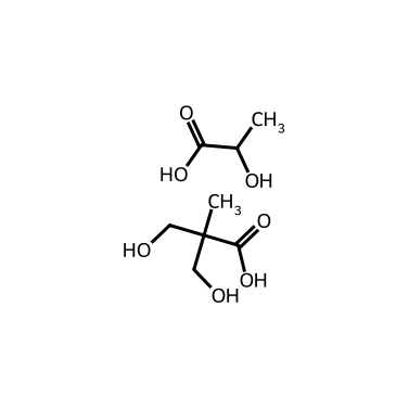 CC(CO)(CO)C(=O)O.CC(O)C(=O)O